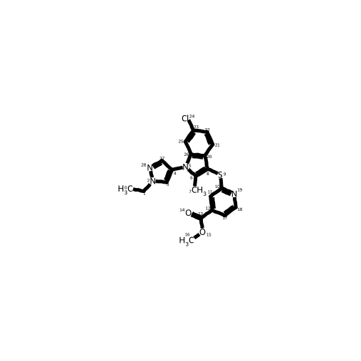 CCn1cc(-n2c(C)c(Sc3cc(C(=O)OC)ccn3)c3ccc(Cl)cc32)cn1